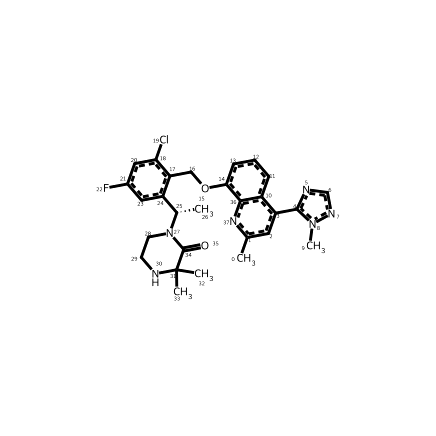 Cc1cc(-c2ncnn2C)c2cccc(OCc3c(Cl)cc(F)cc3[C@H](C)N3CCNC(C)(C)C3=O)c2n1